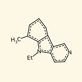 CCn1c2ccncc2c2cccc(C)c21